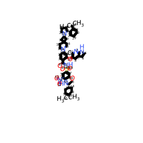 Cc1nc2[nH]ccc2cc1Oc1cc(N2CCC3(CC2)CC(N2CCC[C@@H]2c2ccccc2C(C)C)C3)ccc1C(=O)NS(=O)(=O)c1cc2c(c([N+](=O)[O-])c1)N[C@@H](C1CCC(C)(C)CC1)CO2